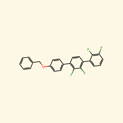 Fc1cccc(-c2ccc(-c3ccc(OCc4ccccc4)cc3)c(F)c2F)c1F